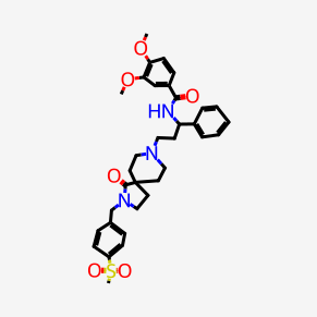 COc1ccc(C(=O)NC(CCN2CCC3(CC2)CCN(Cc2ccc(S(C)(=O)=O)cc2)C3=O)c2ccccc2)cc1OC